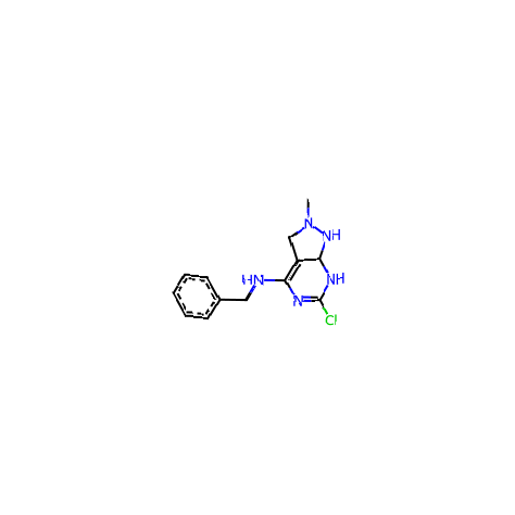 CN1CC2=C(NCc3ccccc3)N=C(Cl)NC2N1